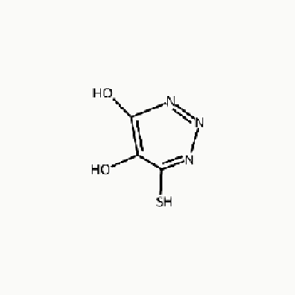 Oc1nnnc(S)c1O